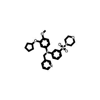 COc1ccc(N(Cc2cccnc2)c2cccc(S(=O)(=O)N3CCOCC3)c2)cc1OC1CCCC1